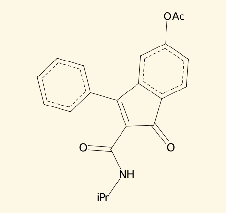 CC(=O)Oc1ccc2c(c1)C(c1ccccc1)=C(C(=O)NC(C)C)C2=O